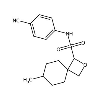 CC1CCC2(CC1)COC2S(=O)(=O)Nc1ccc(C#N)cc1